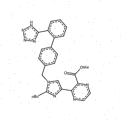 CCCCc1nc(-c2nccnc2C(=O)OC)cn1Cc1ccc(-c2ccccc2-c2nnn[nH]2)cc1